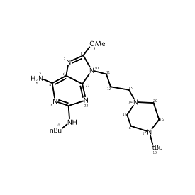 CCCCNc1nc(N)c2nc(OC)n(CCCN3CCN(C(C)(C)C)CC3)c2n1